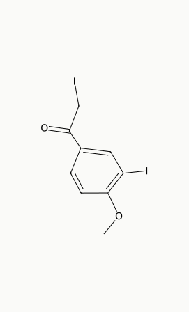 COc1ccc(C(=O)CI)cc1I